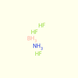 B.F.F.F.N